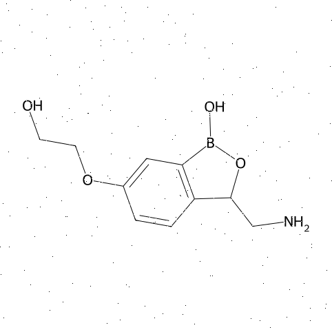 NCC1OB(O)c2cc(OCCO)ccc21